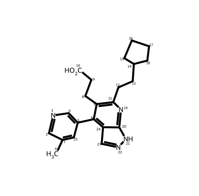 Cc1cncc(-c2c(CCC(=O)O)c(CCC3CCCC3)nc3[nH]ncc23)c1